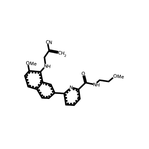 C=C(C#N)CNc1c(OC)ccc2ccc(-c3cccc(C(=O)NCCOC)n3)cc12